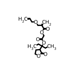 C=CCOCC(=C)C(=O)OCC(=O)OC(CC)(CC)C1CCOC1=O